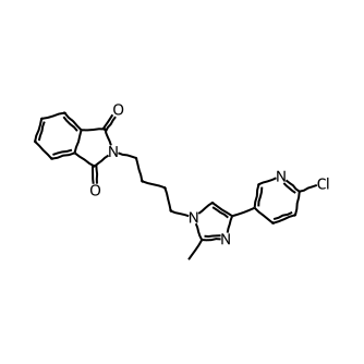 Cc1nc(-c2ccc(Cl)nc2)cn1CCCCN1C(=O)c2ccccc2C1=O